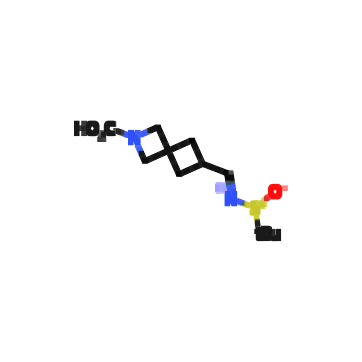 CC(C)(C)[S+]([O-])/N=C/C1CC2(C1)CN(C(=O)O)C2